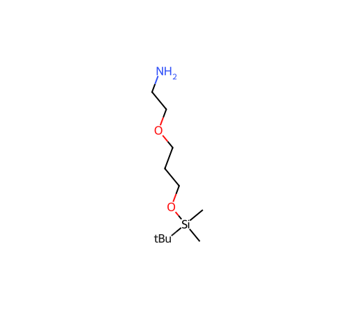 CC(C)(C)[Si](C)(C)OCCCOCCN